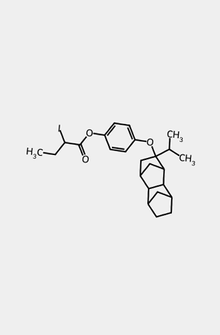 CCC(I)C(=O)Oc1ccc(OC2(C(C)C)CC3CC2C2C4CCC(C4)C32)cc1